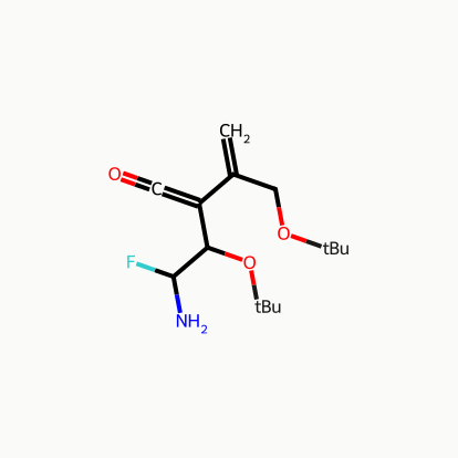 C=C(COC(C)(C)C)C(=C=O)C(OC(C)(C)C)C(N)F